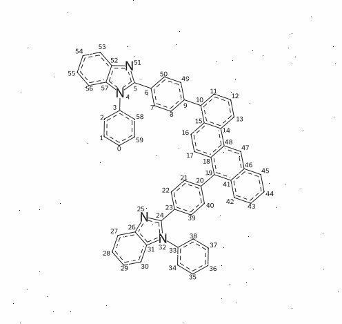 c1ccc(-n2c(-c3ccc(-c4cccc5c4ccc4c(-c6ccc(-c7nc8ccccc8n7-c7ccccc7)cc6)c6ccccc6cc45)cc3)nc3ccccc32)cc1